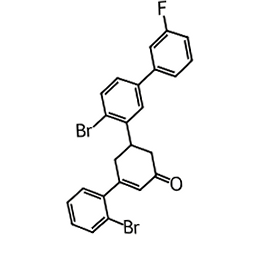 O=C1C=C(c2ccccc2Br)CC(c2cc(-c3cccc(F)c3)ccc2Br)C1